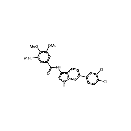 COc1cc(C(=O)Nc2n[nH]c3cc(-c4ccc(Cl)c(Cl)c4)ccc23)cc(OC)c1OC